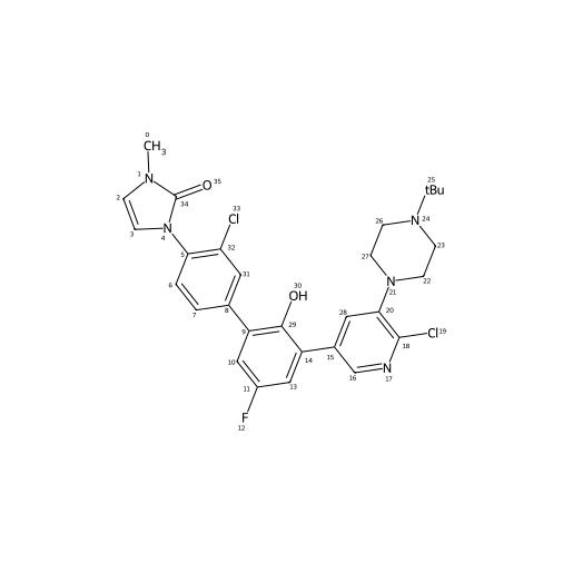 Cn1ccn(-c2ccc(-c3cc(F)cc(-c4cnc(Cl)c(N5CCN(C(C)(C)C)CC5)c4)c3O)cc2Cl)c1=O